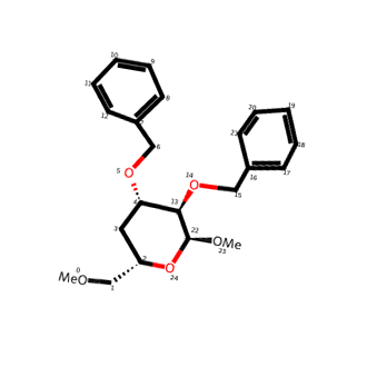 COC[C@@H]1C[C@H](OCc2ccccc2)[C@@H](OCc2ccccc2)[C@@H](OC)O1